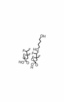 O=S(=O)(O)CC(F)(F)C(F)F.O=S(=O)(O)CC(F)(F)C(F)F.OCCCCO